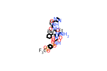 CCC(N)CC(=O)N(C(=O)C(=O)NS(=O)(=O)c1ccc(S(=O)(=O)C(F)(F)F)cc1)C(=O)[C@H](CC1CCCCC1)NC(=O)[C@@H](NC(=O)[C@H](CC(C)C)NC(=O)c1cnccn1)[C@@H](C)CC